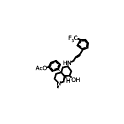 CC(=O)Oc1cccc([C@@]23CCN(C)C[C@H]2C(O)C[C@@H](NCC=Cc2cccc(C(F)(F)F)c2)C3)c1